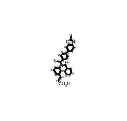 [2H]C(c1ccc(-c2ccc3nc(C)oc3c2)cc1)N(C(=O)C1CCCCC1)c1cccc(/C=C/C(=O)O)c1